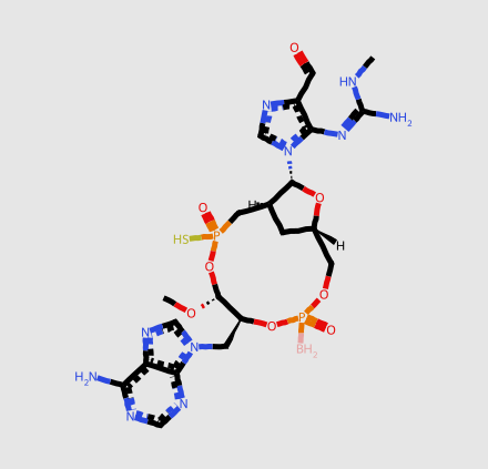 BP1(=O)OC[C@@H]2C[C@@H](CP(=O)(S)O[C@@H](OC)[C@H](Cn3cnc4c(N)ncnc43)O1)[C@H](n1cnc(C=O)c1/N=C(/N)NC)O2